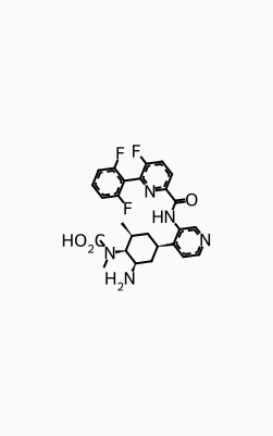 C[C@H]1C[C@@H](c2ccncc2NC(=O)c2ccc(F)c(-c3c(F)cccc3F)n2)C[C@@H](N)[C@H]1N(C)C(=O)O